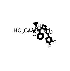 O=C(O)COC(=O)N(C1CC1)[C@H]1c2ccccc2N(C(=O)c2ccc(F)c(F)c2)[C@H]2CC[C@H]21